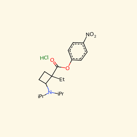 CCC1(C(=O)Oc2ccc([N+](=O)[O-])cc2)CCC1N(C(C)C)C(C)C.Cl